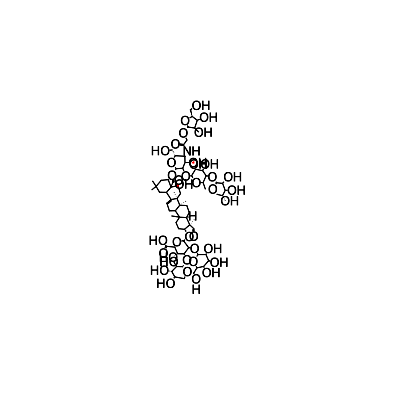 CC1O[C@@H](OC2C(O)[C@@H](NC(=O)CO[C@@H]3O[C@@H](CO)C(O)C3O)[C@@H](CO)O[C@H]2OC(=O)[C@]23CCC(C)(C)CC2C2=CCC4C5(C)CC[C@H](O[C@@H]6OC(C(=O)O)[C@@H](O)[C@H](O[C@@H]7OC[C@@H](O)[C@H](O)C7O)C6O[C@@H]6OC(CO)[C@H](O)[C@H](O)C6O)[C@](C)(C=O)[C@@H]5CC[C@]4(C)[C@]2(C)CC3O)C(O)C(O)[C@H]1O[C@@H]1OC[C@@H](O)C(O)C1O